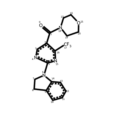 O=C(c1cnc(N2CCc3ccccc32)nc1C(F)(F)F)N1CCOCC1